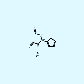 O=C[NH][Ti+2]([NH]C=O)[C]1=CC=CC1.[Cl-].[Cl-]